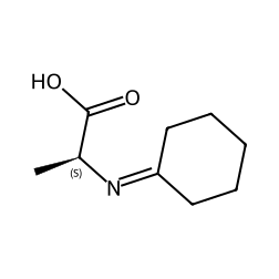 C[C@H](N=C1CCCCC1)C(=O)O